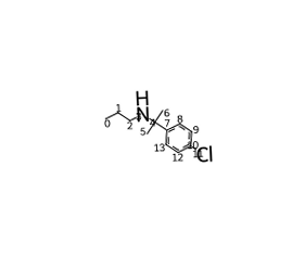 CCCNC(C)(C)c1ccc(Cl)cc1